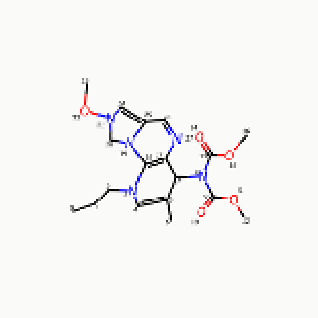 CCCN1C=C(C)C(N(C(=O)OC)C(=O)OC)C2=C1N1CN(OC)C=C1C=N2